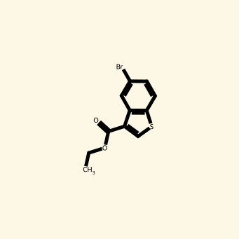 CCOC(=O)c1csc2ccc(Br)cc12